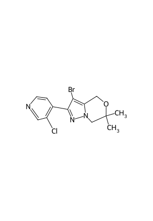 CC1(C)Cn2nc(-c3ccncc3Cl)c(Br)c2CO1